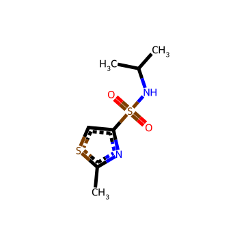 Cc1nc(S(=O)(=O)NC(C)C)cs1